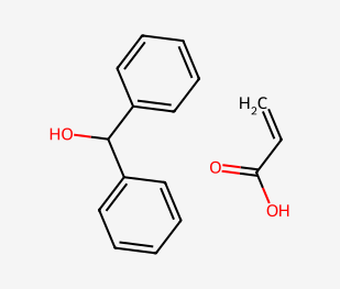 C=CC(=O)O.OC(c1ccccc1)c1ccccc1